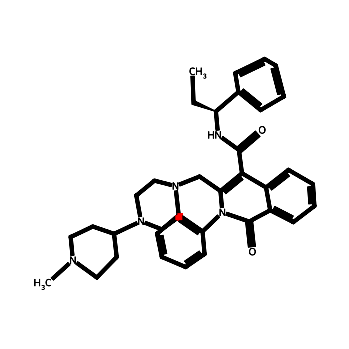 CC[C@H](NC(=O)c1c(CN2CCN(C3CCN(C)CC3)CC2)n(-c2ccccc2)c(=O)c2ccccc12)c1ccccc1